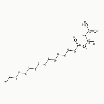 CCCCCCCCCCCCCCCC(=O)O[C@H](C)CC(=O)O